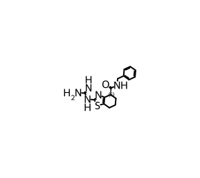 N=C(N)Nc1nc2c(s1)CCC[C@@H]2C(=O)NCc1ccccc1